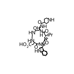 CC(C)C1C(=O)NC(CNC(=O)C2CCNCC2)C(O)NCCNC(CC(=O)O)C(=O)NC(Cc2c[nH]c3ccccc23)C(=O)N1C